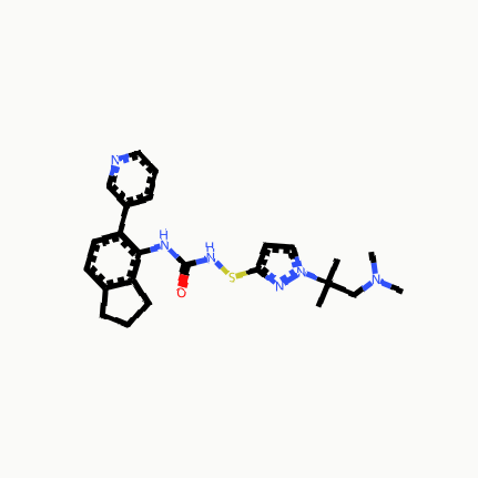 CN(C)CC(C)(C)n1ccc(SNC(=O)Nc2c(-c3cccnc3)ccc3c2CCC3)n1